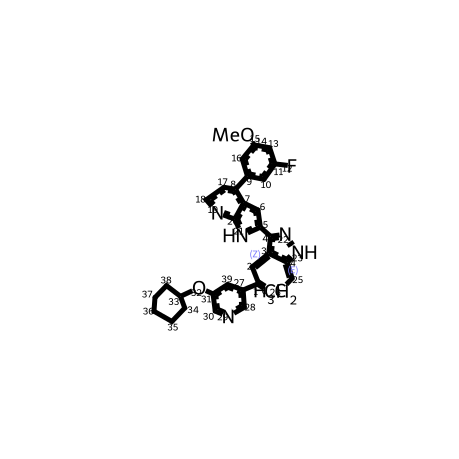 C=C(/C=c1/c(-c2cc3c(-c4cc(F)cc(OC)c4)ccnc3[nH]2)n[nH]/c1=C/C)c1cncc(OC2CCCCC2)c1